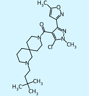 Cc1cc(-c2nn(C)c(Cl)c2C(=O)N2CCC3(CCCN(CCC(C)(C)C)C3)CC2)no1